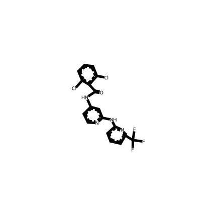 O=C(Nc1ccnc(Nc2cccc(C(F)(F)F)n2)c1)c1c(Cl)cccc1Cl